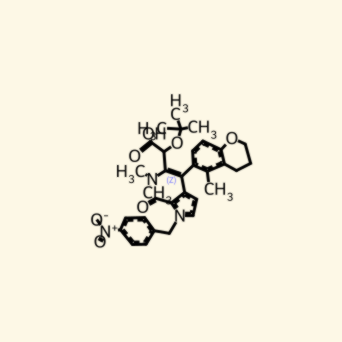 Cc1c(/C(=C(\C(OC(C)(C)C)C(=O)O)N(C)C)c2ccn(Cc3ccc([N+](=O)[O-])cc3)c2C=O)ccc2c1CCCO2